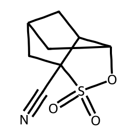 N#CC12CC3CC(OS1(=O)=O)C2C3